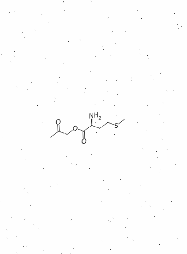 CSCC[C@H](N)C(=O)OCC(C)=O